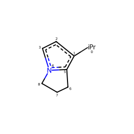 CC(C)c1ccn2c1CCC2